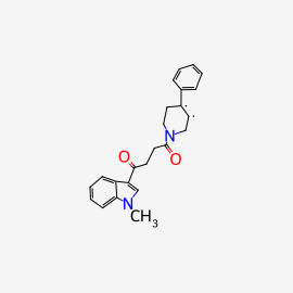 Cn1cc(C(=O)CCC(=O)N2C[CH][C](c3ccccc3)CC2)c2ccccc21